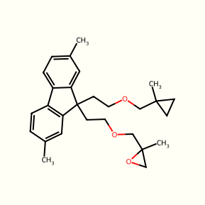 Cc1ccc2c(c1)C(CCOCC1(C)CC1)(CCOCC1(C)CO1)c1cc(C)ccc1-2